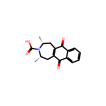 C[C@@H]1CC2=C(C[C@H](C)N1C(=O)O)C(=O)c1ccccc1C2=O